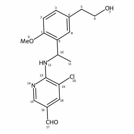 COc1ccc(CCO)cc1C(C)Nc1ncc(C=O)cc1Cl